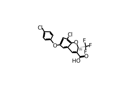 O=C(O)C1=Cc2cc(Oc3ccc(Cl)cc3)cc(Cl)c2O[C@@H]1C(F)(F)F